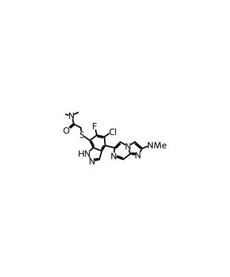 CNc1cn2cc(-c3c(Cl)c(F)c(SCC(=O)N(C)C)c4[nH]ncc34)ncc2n1